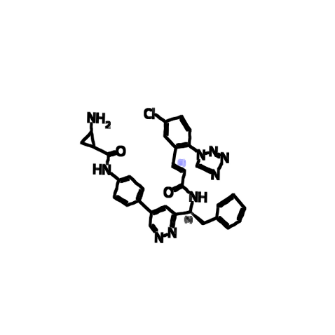 NC1CC1C(=O)Nc1ccc(-c2cnnc([C@H](Cc3ccccc3)NC(=O)/C=C/c3cc(Cl)ccc3-n3cnnn3)c2)cc1